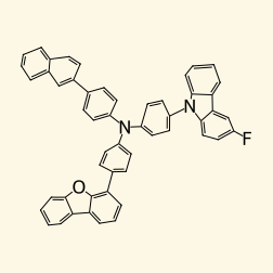 Fc1ccc2c(c1)c1ccccc1n2-c1ccc(N(c2ccc(-c3ccc4ccccc4c3)cc2)c2ccc(-c3cccc4c3oc3ccccc34)cc2)cc1